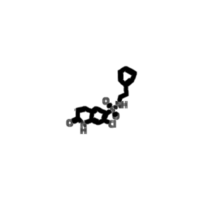 O=c1[c]cc2cc(S(=O)(=O)NCCc3ccccc3)c(Cl)cc2[nH]1